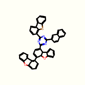 C1=C(c2cccc3oc4ccccc4c23)C2Oc3ccccc3C2C(c2nc(-c3ccc4ccccc4c3)nc(-c3cccc4c3sc3ccccc34)n2)=C1